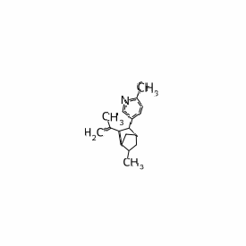 C=C(C)C1C2CC(CC2C)C1c1ccc(C)nc1